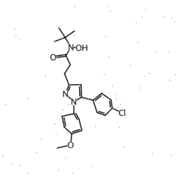 COc1ccc(-n2nc(CCC(=O)N(O)C(C)(C)C)cc2-c2ccc(Cl)cc2)cc1